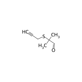 C#CCSC(C)(C)C=O